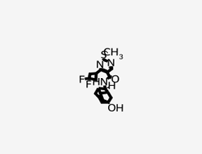 CSc1ncc(C(=O)N[C@H]2C3CC4CC2C[C@@](O)(C4)C3)c(C2CC(F)(F)C2)n1